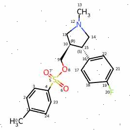 Cc1ccc(S(=O)(=O)OC[C@H]2CN(C)C[C@@H]2c2ccc(F)cc2)cc1